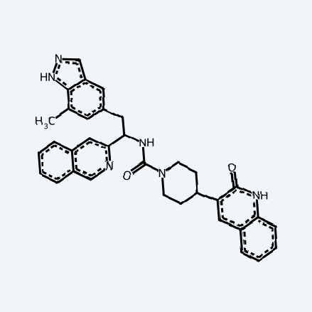 Cc1cc(CC(NC(=O)N2CCC(c3cc4ccccc4[nH]c3=O)CC2)c2cc3ccccc3cn2)cc2cn[nH]c12